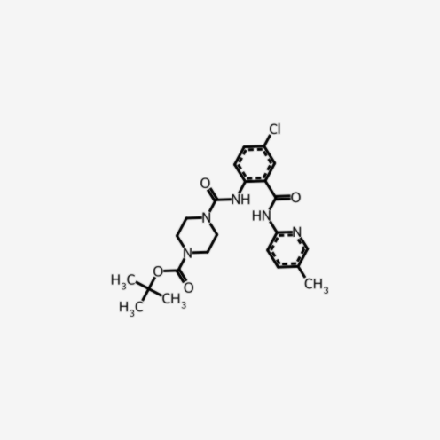 Cc1ccc(NC(=O)c2cc(Cl)ccc2NC(=O)N2CCN(C(=O)OC(C)(C)C)CC2)nc1